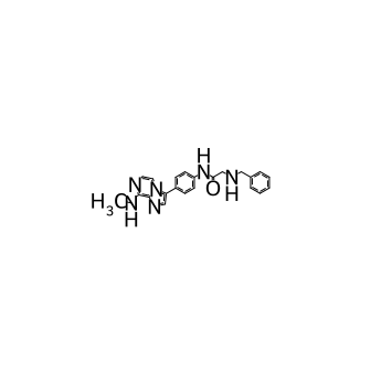 CNc1nccn2c(-c3ccc(NC(=O)CNCc4ccccc4)cc3)cnc12